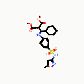 COC(=O)C(C(=O)OC)C(Nc1ccc(S(=O)(=O)Nc2cc(C)on2)cc1)C1CCCCC1